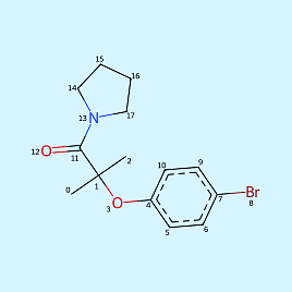 CC(C)(Oc1ccc(Br)cc1)C(=O)N1CCCC1